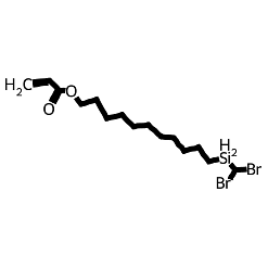 C=CC(=O)OCCCCCCCCCCC[SiH2]C(Br)Br